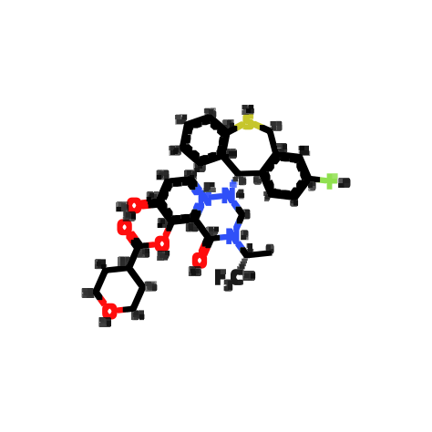 C[C@@H](N1CN([C@H]2c3ccc(F)cc3CSc3ccccc32)n2ccc(=O)c(OC(=O)C3CCOCC3)c2C1=O)C(F)(F)F